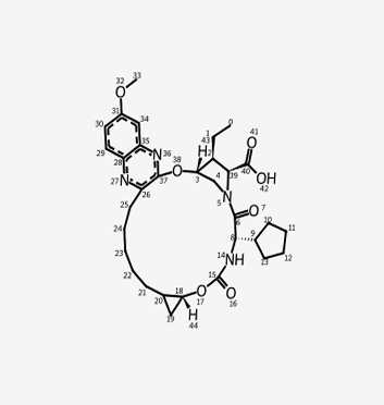 CC[C@@H]1[C@@H]2CN(C(=O)[C@H](C3CCCC3)NC(=O)O[C@@H]3CC3CCCCCc3nc4ccc(OC)cc4nc3O2)[C@@H]1C(=O)O